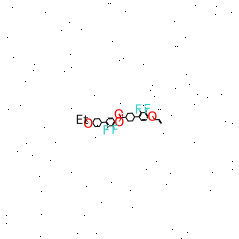 C=CCOc1ccc(C2CCC(C(=O)Oc3ccc(C4CCC(OCC)CC4)c(F)c3F)CC2)c(F)c1F